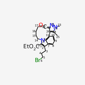 CCOC(=O)c1c(CCCBr)c2cccc3c2n1CCCCOCc1nn(C)c(C)c1-3